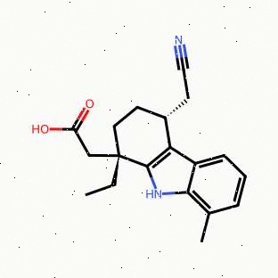 CC[C@@]1(CC(=O)O)CC[C@H](CC#N)c2c1[nH]c1c(C)cccc21